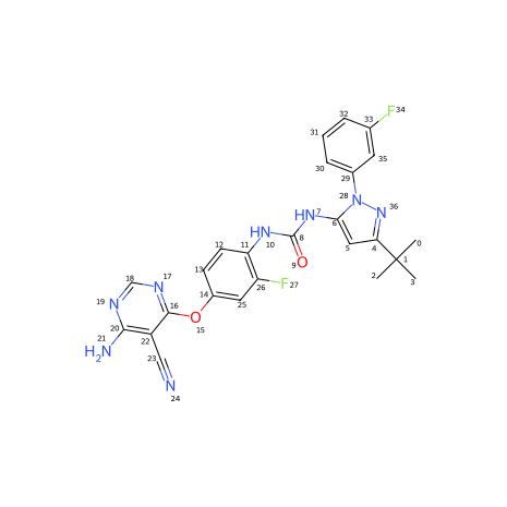 CC(C)(C)c1cc(NC(=O)Nc2ccc(Oc3ncnc(N)c3C#N)cc2F)n(-c2cccc(F)c2)n1